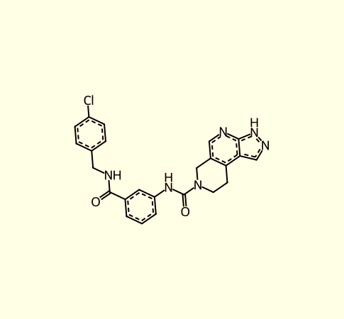 O=C(NCc1ccc(Cl)cc1)c1cccc(NC(=O)N2CCc3c(cnc4[nH]ncc34)C2)c1